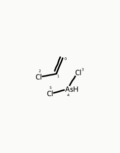 C=CCl.Cl[AsH]Cl